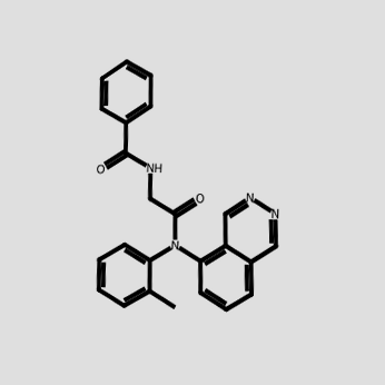 Cc1ccccc1N(C(=O)CNC(=O)c1ccccc1)c1cccc2cnncc12